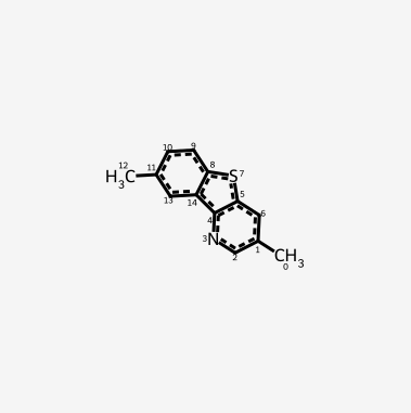 Cc1cnc2c(c1)sc1ccc(C)cc12